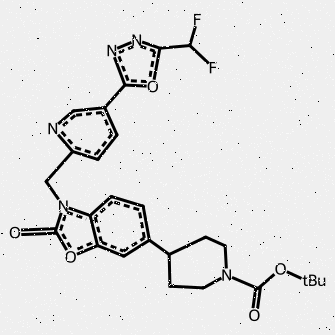 CC(C)(C)OC(=O)N1CCC(c2ccc3c(c2)oc(=O)n3Cc2ccc(-c3nnc(C(F)F)o3)cn2)CC1